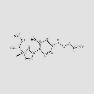 CCCCOC(=O)[C@@]1(C)CSC(c2ccc(OCCOCCC)cc2O)=N1